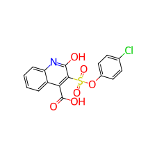 O=C(O)c1c(S(=O)(=O)Oc2ccc(Cl)cc2)c(O)nc2ccccc12